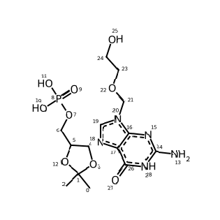 CC1(C)OCC(COP(=O)(O)O)O1.Nc1nc2c(ncn2COCCO)c(=O)[nH]1